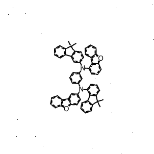 CC1(C)c2ccccc2-c2cc(N(c3cccc(N(c4ccc5oc6ccccc6c5c4)c4cccc5c4-c4ccccc4C5(C)C)c3)c3cccc4oc5ccccc5c34)ccc21